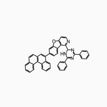 c1ccc(C2=NC(c3nccc4oc5cc(-c6cc7ccc8ccccc8c7c7ccccc67)ccc5c34)NC(c3ccccc3)=N2)cc1